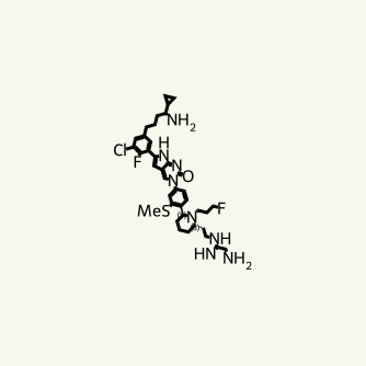 CSc1cc(-n2cc3cc(-c4cc(CCCC(N)C5CC5)cc(Cl)c4F)[nH]c3nc2=O)ccc1[C@@H]1CCC[C@@H](CCNC(=N)CN)N1CCCF